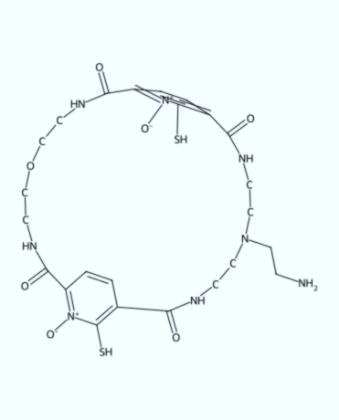 NCCN1CCNC(=O)c2ccc([n+]([O-])c2S)C(=O)NCCOCCNC(=O)c2ccc(c(S)[n+]2[O-])C(=O)NCC1